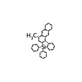 Cc1cc2c(c3cc4ccccc4cc13)-c1ccccc1[Si]2(c1ccccc1)c1ccccc1